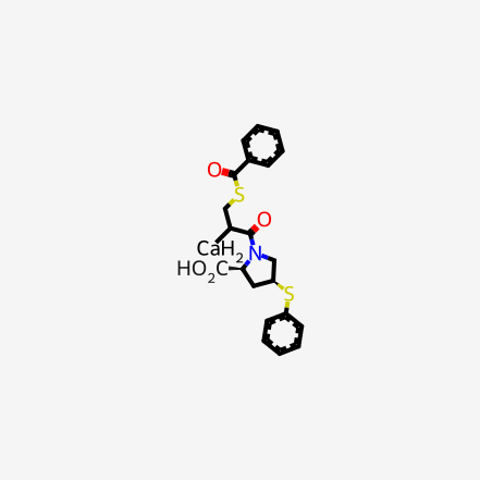 CC(CSC(=O)c1ccccc1)C(=O)N1C[C@@H](Sc2ccccc2)C[C@H]1C(=O)O.[CaH2]